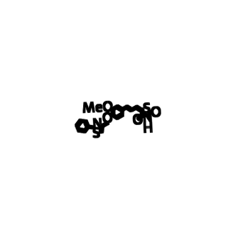 COc1cc(C=CC=C2SC(=O)NC2=O)ccc1OCc1csc(-c2ccccc2)n1